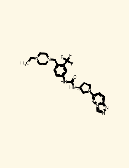 CCN1CCN(Cc2ccc(NC(=O)N[C@H]3CCN(c4ccc5nncn5n4)C3)cc2C(F)(F)F)CC1